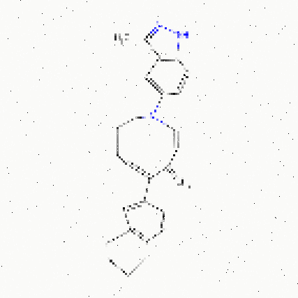 C=C1/C=C\N(c2ccc3[nH]nc(C)c3c2)C/C=C\C=C/1c1ccc2c(c1)CCCC2